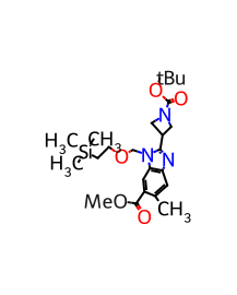 COC(=O)c1cc2c(cc1C)nc(C1CN(C(=O)OC(C)(C)C)C1)n2COCC[Si](C)(C)C